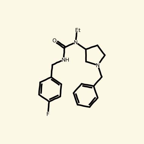 CCN(C(=O)NCc1ccc(F)cc1)C1CCN(Cc2ccccc2)C1